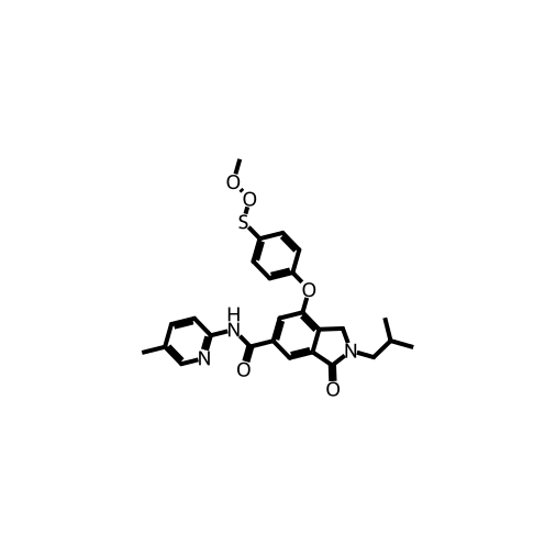 COOSc1ccc(Oc2cc(C(=O)Nc3ccc(C)cn3)cc3c2CN(CC(C)C)C3=O)cc1